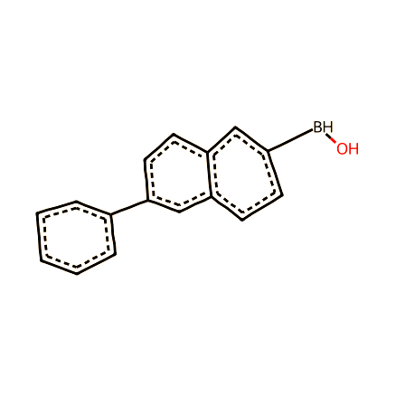 OBc1ccc2cc(-c3ccccc3)ccc2c1